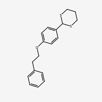 c1ccc(CCOc2ccc(C3SCCCS3)cc2)cc1